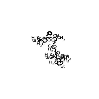 C=C1CC(CCC(=O)/C=C/[C@H](O[Si](C)(C)C(C)(C)C)[C@@H]2O[C@@]3(C)CC[C@H](CC)O[C@@H]3[C@H](C)[C@@H]2O[Si](C)(C)C(C)(C)C)O[C@H]1CCC1C[C@@H](C)C(=C)[C@@H](CC2O[C@H](C[C@H](C)CO[Si](C)(C)C(C)(C)C)[C@H](C)[C@H]2Cc2ccccc2)O1